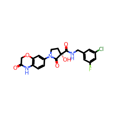 O=C1COc2cc(N3CC[C@@](O)(C(=O)NCc4cc(F)cc(Cl)c4)C3=O)ccc2N1